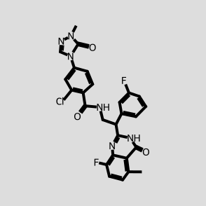 Cc1ccc(F)c2nc(C(CNC(=O)c3ccc(-n4cnn(C)c4=O)cc3Cl)c3cccc(F)c3)[nH]c(=O)c12